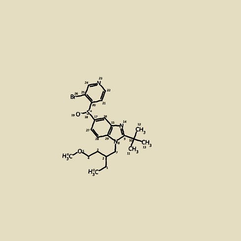 CCC(CCOC)Cn1c(C(C)(C)C)nc2cc([S+]([O-])c3ccncc3Br)ccc21